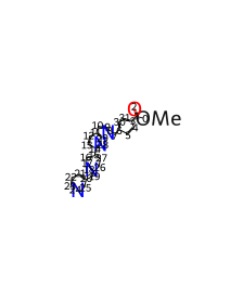 COC(=O)c1ccc(Cn2ccc3ccc(C4CCN(Cc5cccnc5)CC4)nc32)cc1